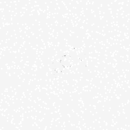 CCCN(CCC)c1cc2c(cc1O)[C@]13CCCC[C@@H]1[C@H](C2)NCC3